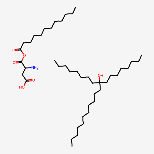 CCCCCCCCCCCC(=O)OC(=O)C(N)CC(=O)O.CCCCCCCCCCCC(O)(CCCCCCCC)CCCCCCCC